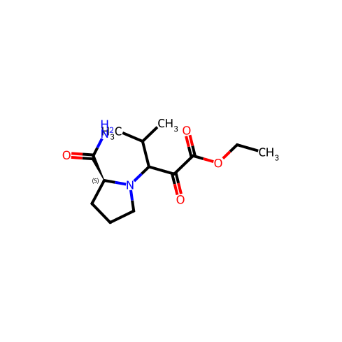 CCOC(=O)C(=O)C(C(C)C)N1CCC[C@H]1C(N)=O